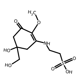 COC1=C(NCCS(=O)(=O)O)CC(O)(CO)CC1=O